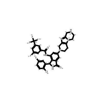 O=C(Nc1cc(N2CCc3c(nc4n3CCNC4)C2)cc2c1C(c1cc(F)ccc1Cl)NC2=O)c1cc(F)cc(C(F)(F)F)c1